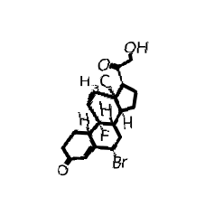 C[C@]12CC[C@]3(F)[C@H]4CCC(=O)C=C4[C@@H](Br)C[C@H]3[C@@H]1CC[C@@H]2C(=O)CO